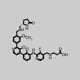 COc1cc(-c2nccc(-c3cccc(Nc4nccc(CNCCC(=O)O)c4F)c3Cl)c2Cl)ccc1CNC[C@@H]1CCC(=O)N1